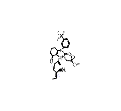 C=C(/C=C\C(C#N)=C/C)[C@@H]1C2=C(CCCC2=O)N(c2cccc(C(F)(F)F)c2)C(=O)N1CC(=O)OC